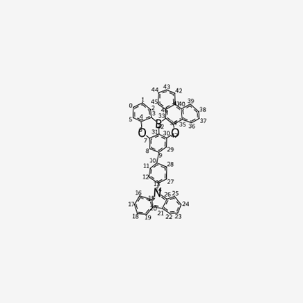 c1ccc2c(c1)Oc1cc(-c3ccc(-n4c5ccccc5c5ccccc54)cc3)cc3c1B2c1c(c2ccccc2c2ccccc12)O3